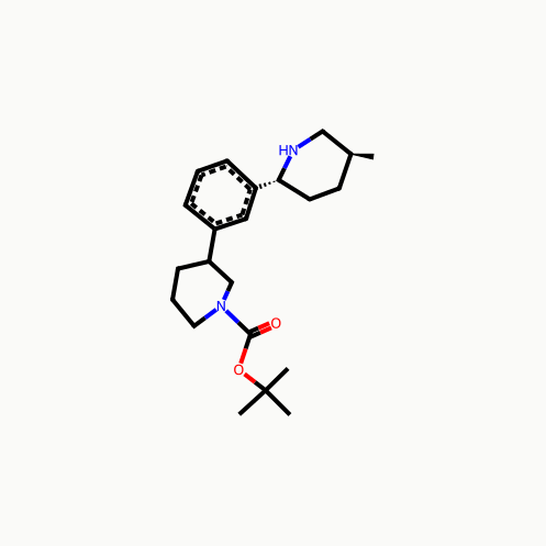 C[C@H]1CC[C@H](c2cccc(C3CCCN(C(=O)OC(C)(C)C)C3)c2)NC1